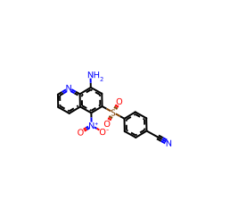 N#Cc1ccc(S(=O)(=O)c2cc(N)c3ncccc3c2[N+](=O)[O-])cc1